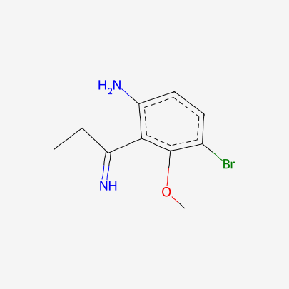 CCC(=N)c1c(N)ccc(Br)c1OC